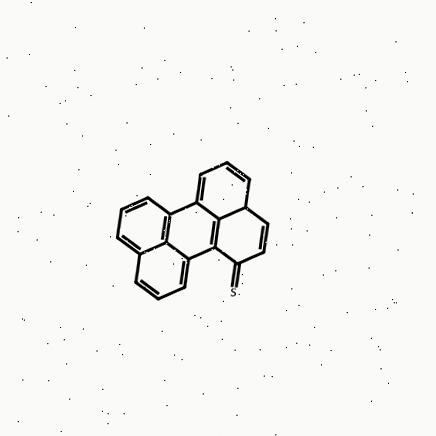 S=C1C=CC2C=CC=c3c2c1c1cccc2cccc3c21